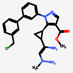 COC(=O)c1cnn(-c2cccc(-c3cccc(CCl)c3)c2)c1[C@@H]1CC1/C(N)=C/N(C)N